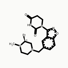 CC[C@H]1CN(Cc2ccc3onc(N4CCC(=O)NC4=O)c3c2)CCN1C